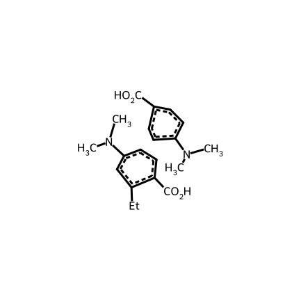 CCc1cc(N(C)C)ccc1C(=O)O.CN(C)c1ccc(C(=O)O)cc1